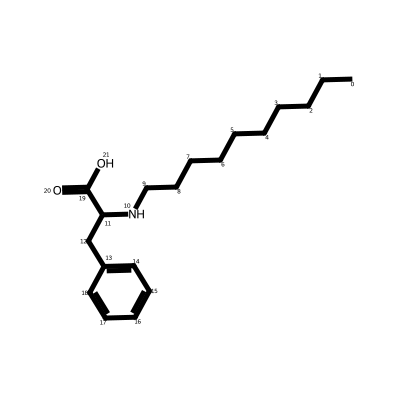 CCCCCCCCCCNC(Cc1ccccc1)C(=O)O